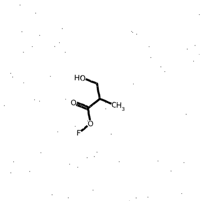 CC(CO)C(=O)OF